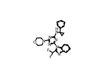 FC(F)c1nc2ccccc2n1-c1nc(NC2(c3ccccc3)CC2)nc(N2CCOCC2)n1